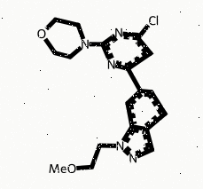 COCCn1ncc2ccc(-c3cc(Cl)nc(N4CCOCC4)n3)cc21